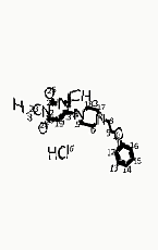 Cl.Cn1c(N2CCN(CCOc3ccccc3)CC2)cc(=O)n(C)c1=O